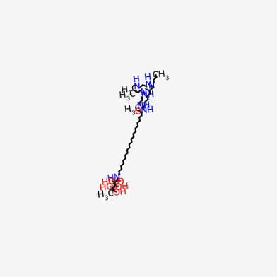 CCCCN(CC(CCCCCCNC(=O)CCCCCCCCCCCCCCCCCCCCCCCNC(=O)[C@H](O)[C@@H](O)[C@H](O)[C@@H](C)O)CN(CCCC)NCCCNC)NCCCNC